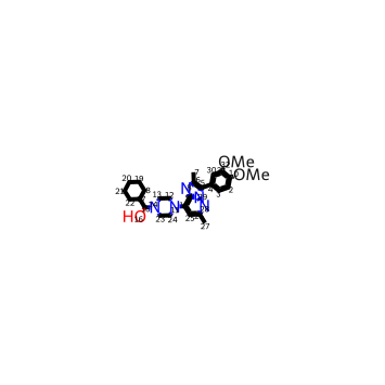 COc1ccc(-c2c(C)nc3c(N4CCN(C(O)C5CCCCC5)CC4)cc(C)nn23)cc1OC